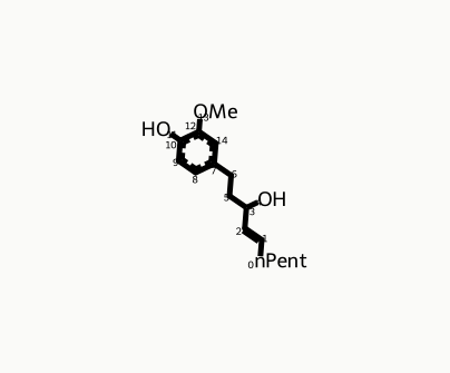 CCCCC/C=C/C(O)CCc1ccc(O)c(OC)c1